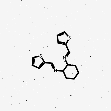 C(=NC1CCCCC1N=Cc1cccs1)c1cccs1